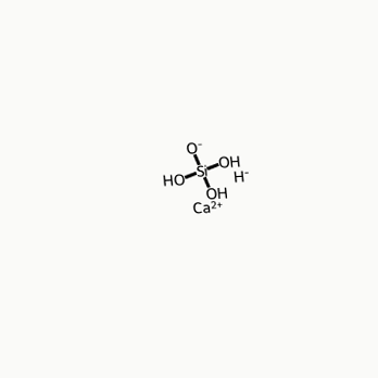 [Ca+2].[H-].[O-][Si](O)(O)O